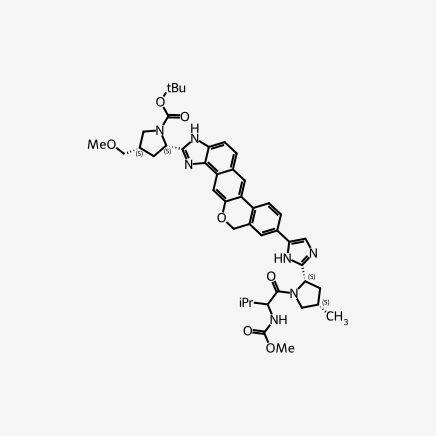 COC[C@H]1C[C@@H](c2nc3c(ccc4cc5c(cc43)OCc3cc(-c4cnc([C@@H]6C[C@H](C)CN6C(=O)C(NC(=O)OC)C(C)C)[nH]4)ccc3-5)[nH]2)N(C(=O)OC(C)(C)C)C1